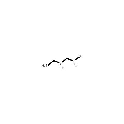 [SiH3]C[SiH2]C[SiH2]Br